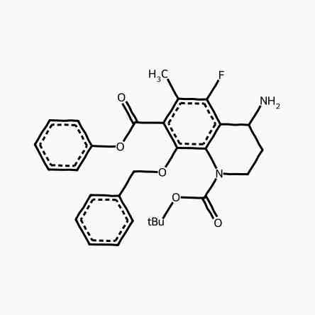 Cc1c(F)c2c(c(OCc3ccccc3)c1C(=O)Oc1ccccc1)N(C(=O)OC(C)(C)C)CCC2N